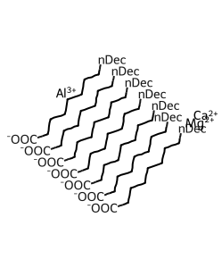 CCCCCCCCCCCCCCCCCC(=O)[O-].CCCCCCCCCCCCCCCCCC(=O)[O-].CCCCCCCCCCCCCCCCCC(=O)[O-].CCCCCCCCCCCCCCCCCC(=O)[O-].CCCCCCCCCCCCCCCCCC(=O)[O-].CCCCCCCCCCCCCCCCCC(=O)[O-].CCCCCCCCCCCCCCCCCC(=O)[O-].[Al+3].[Ca+2].[Mg+2]